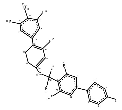 Cc1ccc(-c2cc(F)c(C(F)(F)OC3=CC(F)=C(c4cc(F)c(C(F)(F)F)c(F)c4)CC3)c(F)c2)cc1